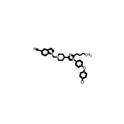 CCCCc1nc(C2CCN(Cn3ccc4cc(C#N)ccc43)CC2)cn1-c1ccc(Oc2ccc(Cl)cc2)cc1